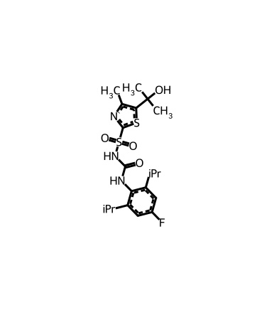 Cc1nc(S(=O)(=O)NC(=O)Nc2c(C(C)C)cc(F)cc2C(C)C)sc1C(C)(C)O